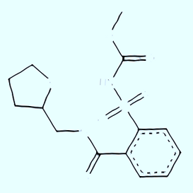 COC(=O)NS(=O)(=O)c1ccccc1C(=O)OCC1CCCO1